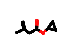 C=C(C)CC(=O)OC1CC1